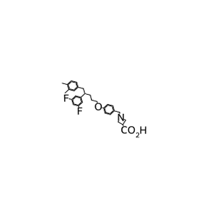 Cc1ccc(CC(CCCOc2ccc(CN3CC(C(=O)O)C3)cc2)c2cc(F)cc(F)c2)cc1C